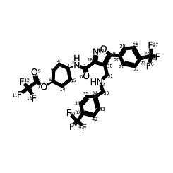 O=C(N[C@H]1CC[C@H](OC(=O)C(F)(F)F)CC1)c1noc(-c2ccc(C(F)(F)F)cc2)c1CNCc1ccc(C(F)(F)F)cc1